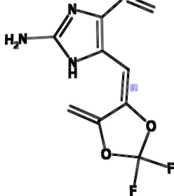 C=Cc1nc(N)[nH]c1/C=C1/OC(F)(F)OC1=C